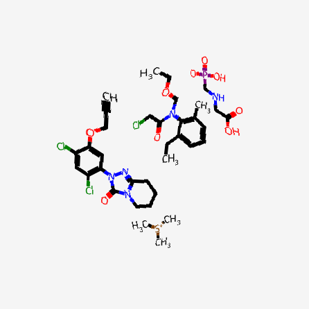 C#CCOc1cc(-n2nc3n(c2=O)CCCC3)c(Cl)cc1Cl.CCOCN(C(=O)CCl)c1c(C)cccc1CC.C[S+](C)C.O=C(O)CNCP(=O)([O-])O